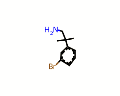 CC(C)(CN)c1cccc(Br)c1